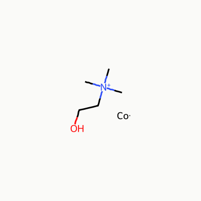 C[N+](C)(C)CCO.[Co]